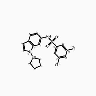 O=S(=O)(Nc1ccc2ccn(N3CCCC3)c2c1)c1cc(Cl)cc(Cl)c1